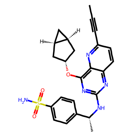 CC#Cc1ccc2nc(N[C@H](C)c3ccc(S(N)(=O)=O)cc3)nc(O[C@H]3C[C@@H]4C[C@@H]4C3)c2n1